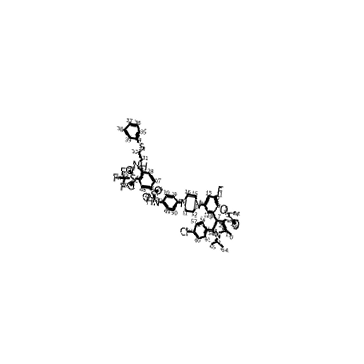 Cc1c(S(C)(=O)=O)c(-c2cc(F)cc(N3CCN(c4ccc(NS(=O)(=O)c5ccc(NCCSc6ccccc6)c(S(=O)(=O)C(F)(F)F)c5)cc4)CC3)c2)c(-c2ccc(Cl)cc2)n1C(C)C